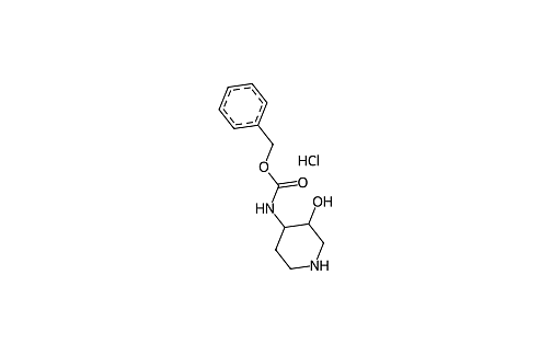 Cl.O=C(NC1CCNCC1O)OCc1ccccc1